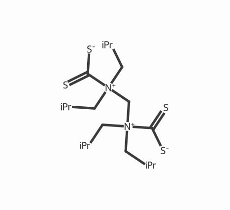 CC(C)C[N+](CC(C)C)(C[N+](CC(C)C)(CC(C)C)C(=S)[S-])C(=S)[S-]